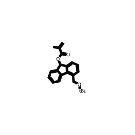 C=C(C)C(=O)OC1c2ccccc2-c2c(COC(C)(C)C)cccc21